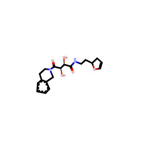 O=C(NCCC1CC=CO1)[C@H](O)[C@@H](O)C(=O)N1CCc2ccccc2C1